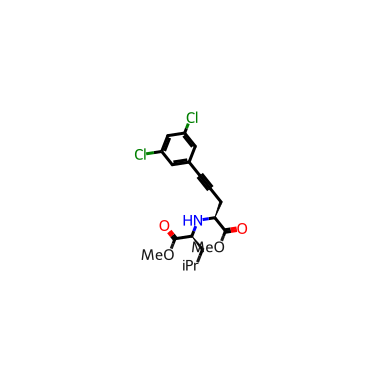 COC(=O)[C@H](CC#Cc1cc(Cl)cc(Cl)c1)N[C@@H](CC(C)C)C(=O)OC